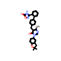 CCCc1ncn(-c2ccc3c(c2)CC(C)(C)O3)c(=O)c1Cc1ccc(-c2ccccc2-c2noc(=O)[nH]2)cc1